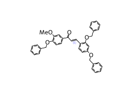 COc1cc(C(=O)/C=C/c2ccc(OCc3ccccc3)cc2OCc2ccccc2)ccc1OCc1ccccc1